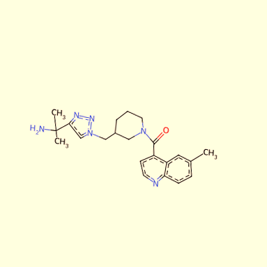 Cc1ccc2nccc(C(=O)N3CCCC(Cn4cc(C(C)(C)N)nn4)C3)c2c1